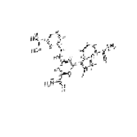 Cc1[nH]c2c(C(N)=O)cccc2c1-c1nc(NCc2cccc(B(O)O)c2)nc(C(N)=O)n1